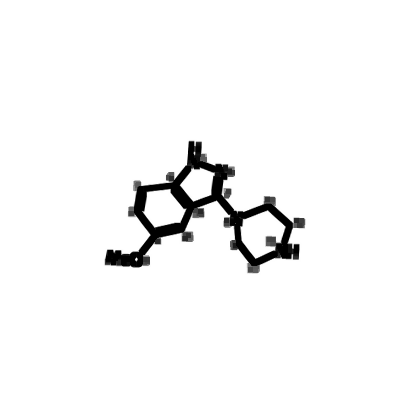 COc1ccc2[nH]nc(N3CCNCC3)c2c1